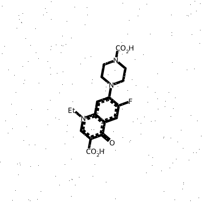 CCn1cc(C(=O)O)c(=O)c2cc(F)c(N3CCN(C(=O)O)CC3)cc21